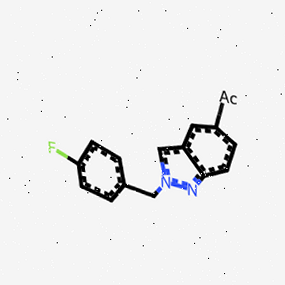 CC(=O)c1ccc2nn(Cc3ccc(F)cc3)cc2c1